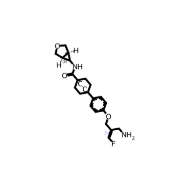 NC/C(=C\F)COc1ccc(C23CCC(C(=O)NC4[C@H]5COC[C@@H]45)(CC2)CC3)cc1